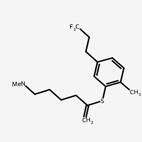 C=C(CCCCNC)Sc1cc(CCC(F)(F)F)ccc1C